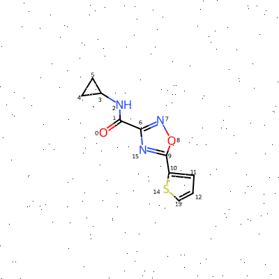 O=C(NC1CC1)c1noc(-c2cccs2)n1